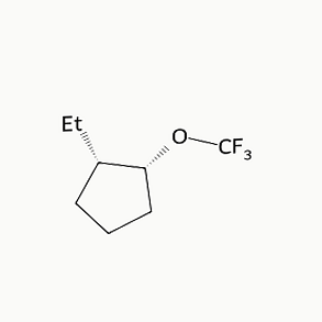 CC[C@H]1CCC[C@H]1OC(F)(F)F